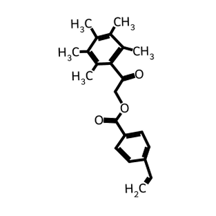 C=Cc1ccc(C(=O)OCC(=O)c2c(C)c(C)c(C)c(C)c2C)cc1